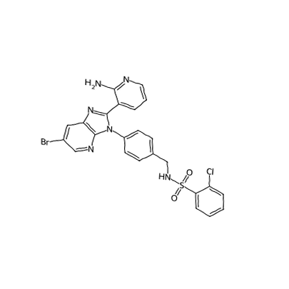 Nc1ncccc1-c1nc2cc(Br)cnc2n1-c1ccc(CNS(=O)(=O)c2ccccc2Cl)cc1